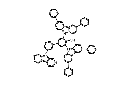 N#Cc1c(-n2c3ccc(-c4ccccc4)cc3c3cc(-c4ccccc4)ccc32)cc(-c2cccc(-n3c4cnccc4c4ccncc43)c2)cc1-n1c2ccc(-c3ccccc3)cc2c2cc(-c3ccccc3)ccc21